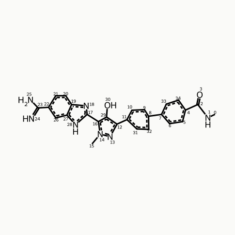 CNC(=O)c1ccc(-c2ccc(-c3nn(C)c(-c4nc5ccc(C(=N)N)cc5[nH]4)c3O)cc2)cc1